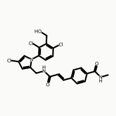 CNC(=O)c1ccc(C=CC(=O)NCc2cc(Cl)cn2-c2ccc(Cl)c(CO)c2Cl)cc1